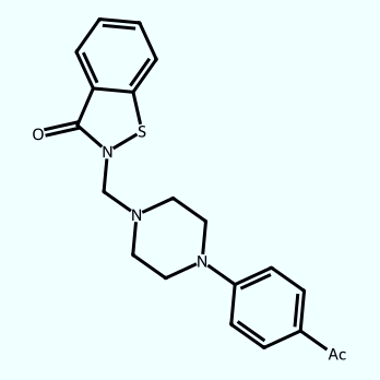 CC(=O)c1ccc(N2CCN(Cn3sc4ccccc4c3=O)CC2)cc1